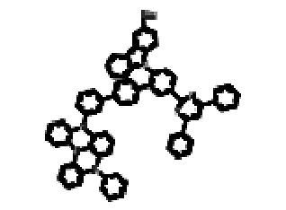 CC(C)(C)c1ccc2c(c1)c1ccccc1n2-c1ccc(-c2nc(-c3ccccc3)cc(-c3ccccc3)n2)cc1-c1ccc(-c2cccc(N3c4ccccc4B4c5ccccc5N(c5ccccc5)c5cccc3c54)c2)cc1